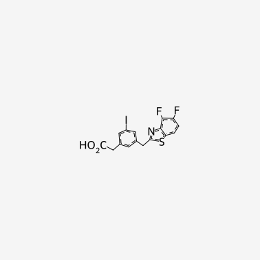 O=C(O)Cc1cc(I)cc(Cc2nc3c(F)c(F)ccc3s2)c1